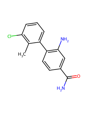 Cc1c(Cl)cccc1-c1ccc(C(N)=O)cc1N